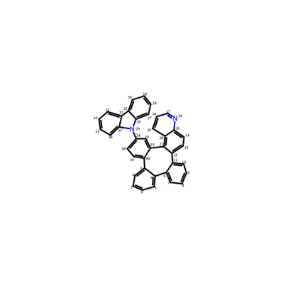 c1ccc2c(c1)-c1ccccc1-c1ccc3ncccc3c1-c1cc(-n3c4ccccc4c4ccccc43)ccc1-2